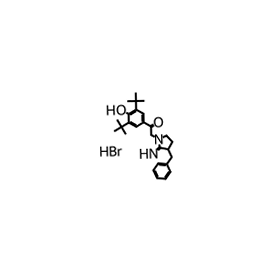 Br.CC(C)(C)c1cc(C(=O)CN2CCC(Cc3ccccc3)C2=N)cc(C(C)(C)C)c1O